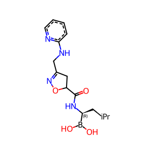 CC(C)C[C@H](NC(=O)C1CC(CNc2ccccn2)=NO1)B(O)O